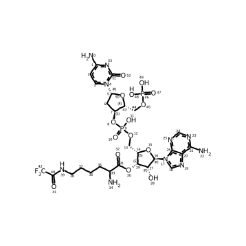 Nc1ccn([C@H]2C[C@H](OP(=O)(O)OC[C@@H]3O[C@@H](n4cnc5c(N)ncnc54)[C@H](O)[C@@H]3OC(=O)C(N)CCCCNC(=O)C(F)(F)F)[C@@H](COP(=O)(O)O)O2)c(=O)n1